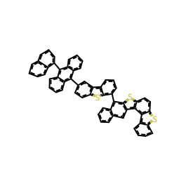 c1ccc2c(-c3c4ccccc4c(-c4ccc5sc6c(-c7c8ccccc8cc8c7sc7ccc9sc%10ccccc%10c9c78)cccc6c5c4)c4ccccc34)cccc2c1